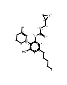 CCCCCc1cc(O)c([C@@H]2C=C(C)CCC2)c(OC(=S)NCC2CO2)c1